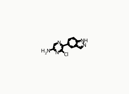 Nc1cnc(-c2ccc3[nH]ncc3c2)c(Cl)n1